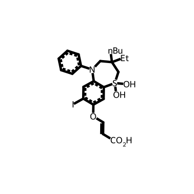 CCCCC1(CC)CN(c2ccccc2)c2cc(I)c(OC=CC(=O)O)cc2S(O)(O)C1